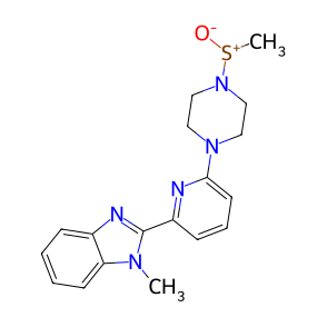 Cn1c(-c2cccc(N3CCN([S+](C)[O-])CC3)n2)nc2ccccc21